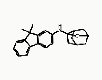 CC1(C)c2ccccc2-c2ccc(NC34CC5CC(CC3C5)C4)cc21